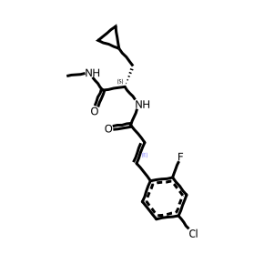 CNC(=O)[C@H](CC1CC1)NC(=O)/C=C/c1ccc(Cl)cc1F